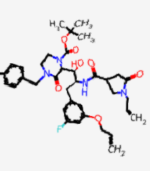 C=CCOc1cc(F)cc(C[C@H](NC(=O)C2CC(=O)N(CC=C)C2)[C@H](O)[C@H]2C(=O)N(Cc3ccccc3)CCN2C(=O)OC(C)(C)C)c1